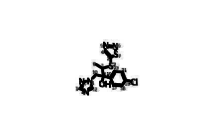 CC(Sc1cnns1)C(O)(Cn1cncn1)c1ccc(Cl)cc1